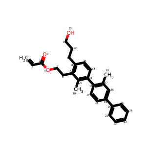 C=CC(=O)OCCc1c(CCCO)ccc(-c2ccc(-c3ccccc3)cc2C)c1C